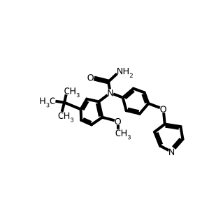 COc1ccc(C(C)(C)C)cc1N(C(N)=O)c1ccc(Oc2ccncc2)cc1